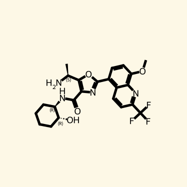 COc1ccc(-c2nc(C(=O)N[C@@H]3CCCC[C@H]3O)c([C@H](C)N)o2)c2ccc(C(F)(F)F)nc12